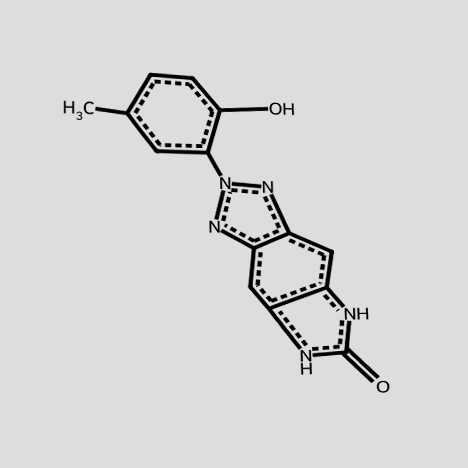 Cc1ccc(O)c(-n2nc3cc4[nH]c(=O)[nH]c4cc3n2)c1